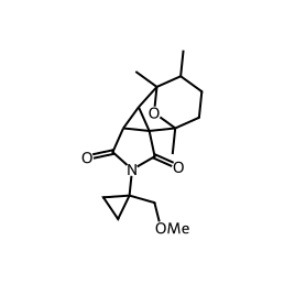 COCC1(N2C(=O)C3C4C5(C)OC(C)(CCC5C)C34C2=O)CC1